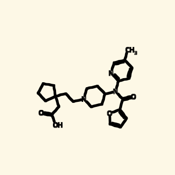 Cc1ccc(N(C(=O)c2ccco2)C2CCN(CCC3(CC(=O)O)CCCC3)CC2)nc1